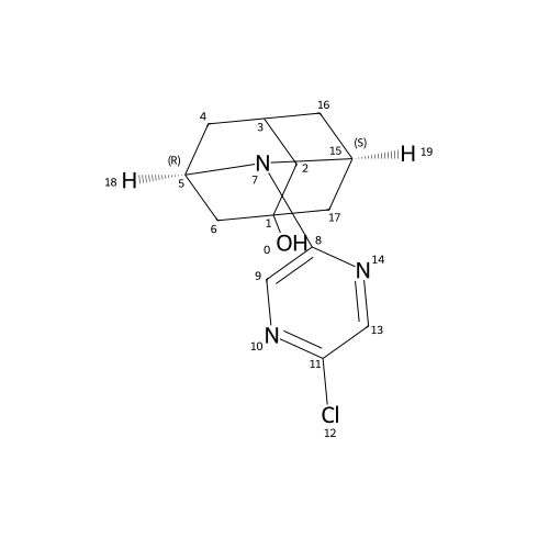 OC12CC3C[C@H](C1)N(c1cnc(Cl)cn1)[C@@H](C3)C2